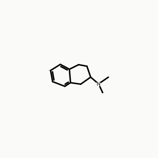 CN(C)C1CCc2c[c]ccc2C1